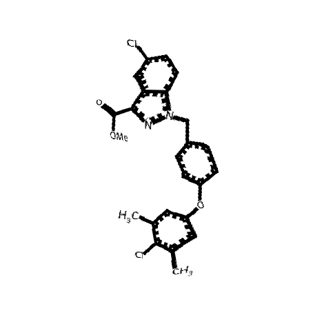 COC(=O)c1nn(Cc2ccc(Oc3cc(C)c(Cl)c(C)c3)cc2)c2ccc(Cl)cc12